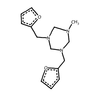 CN1CN(Cc2ccco2)CN(Cc2ccco2)C1